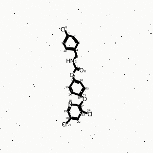 O=C(NCc1ccc(Cl)cc1)Oc1ccc(Oc2ncc(Cl)cc2Cl)cc1